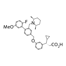 COc1ccc(F)c(-c2ccc(COc3cccc([C@@H](CC(=O)O)C4CC4)c3)cc2CN2[C@H](C)CCC[C@@H]2C)c1